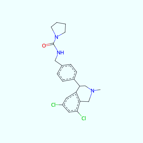 CN1Cc2c(Cl)cc(Cl)cc2C(c2ccc(CNC(=O)N3CCCC3)cc2)C1